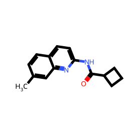 Cc1ccc2ccc(NC(=O)C3CCC3)nc2c1